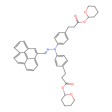 O=C(CCc1ccc(N(N=Cc2cc3cccc4ccc5cccc2c5c43)c2ccc(CCC(=O)OC3CCCCO3)cc2)cc1)OC1CCCCO1